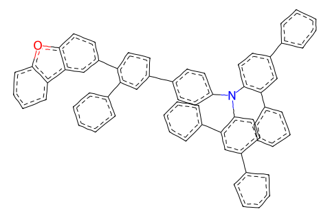 c1ccc(-c2ccc(N(c3ccc(-c4ccc(-c5ccc6oc7ccccc7c6c5)c(-c5ccccc5)c4)cc3)c3ccc(-c4ccccc4)cc3-c3ccccc3)c(-c3ccccc3)c2)cc1